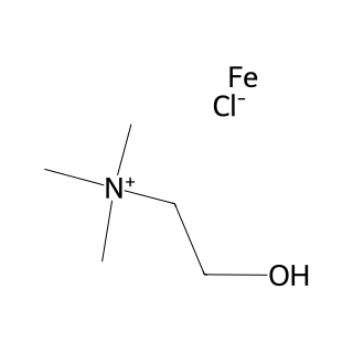 C[N+](C)(C)CCO.[Cl-].[Fe]